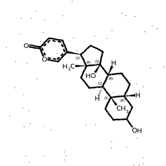 C[C@]12CCC(O)C[C@H]1CC[C@@H]1[C@@H]2CC[C@]2(C)[C@@H](c3ccc(=O)oc3)CC[C@]12O